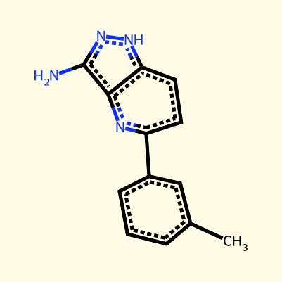 Cc1cccc(-c2ccc3[nH]nc(N)c3n2)c1